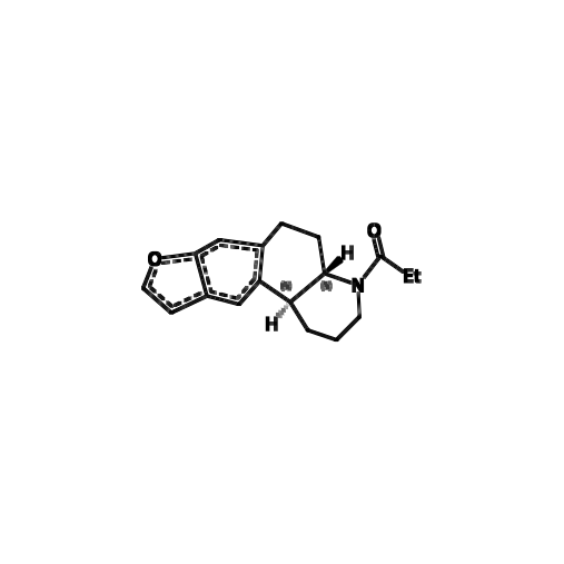 CCC(=O)N1CCC[C@H]2c3cc4ccoc4cc3CC[C@@H]21